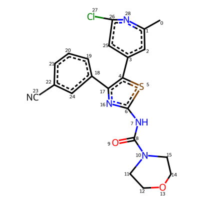 Cc1cc(-c2sc(NC(=O)N3CCOCC3)nc2-c2cccc(C#N)c2)cc(Cl)n1